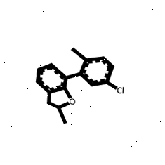 Cc1ccc(Cl)cc1-c1cccc2c1OC(C)C2